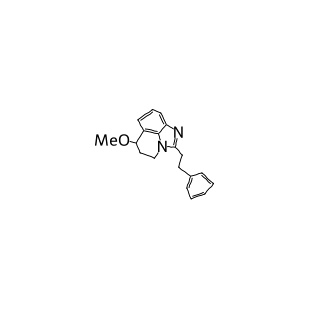 COC1CCn2c(CCc3ccccc3)nc3cccc1c32